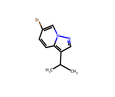 CC(C)c1cnn2cc(Br)ccc12